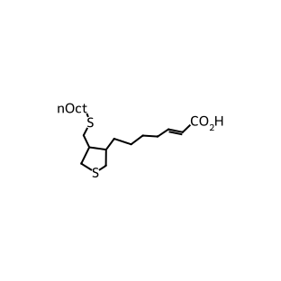 CCCCCCCCSCC1CSCC1CCCCC=CC(=O)O